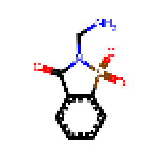 NCN1C(=O)c2ccccc2S1(=O)=O